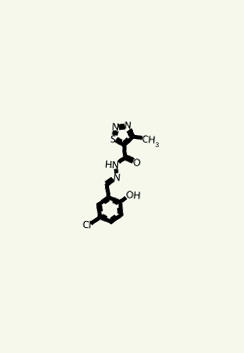 Cc1nnsc1C(=O)N/N=C/c1cc(Cl)ccc1O